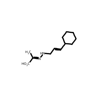 CC(=NNCC=CC1CCCCC1)C(=O)O